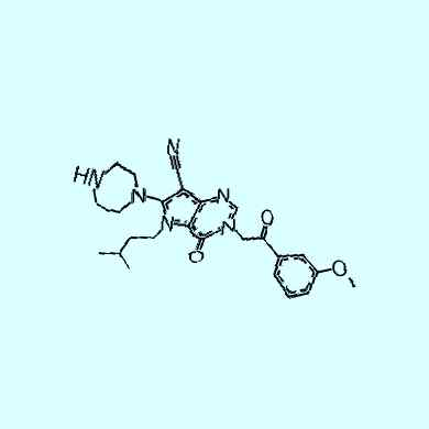 COc1cccc(C(=O)Cn2cnc3c(C#N)c(N4CCNCC4)n(CCC(C)C)c3c2=O)c1